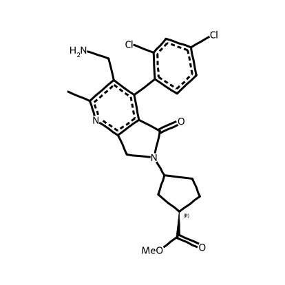 COC(=O)[C@@H]1CCC(N2Cc3nc(C)c(CN)c(-c4ccc(Cl)cc4Cl)c3C2=O)C1